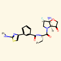 CC(C)C[C@H](NC(=O)c1cccc(-c2csc(NC(C)C)n2)c1)C(=O)N1C[C@H](F)[C@@]2(N)OCC(=O)[C@@H]12